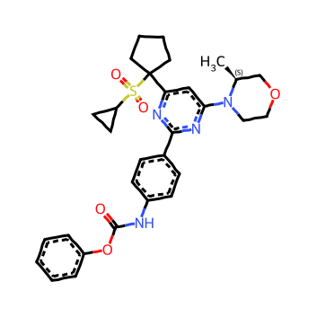 C[C@H]1COCCN1c1cc(C2(S(=O)(=O)C3CC3)CCCC2)nc(-c2ccc(NC(=O)Oc3ccccc3)cc2)n1